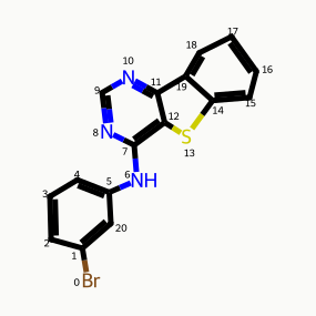 Brc1cccc(Nc2ncnc3c2sc2ccccc23)c1